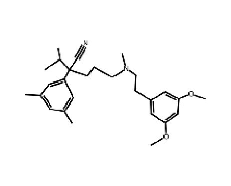 COc1cc(CCN(C)CCCC(C#N)(c2cc(C)cc(C)c2)C(C)C)cc(OC)c1